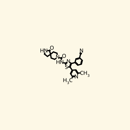 Cc1cc(-c2sc(NC(=O)N3CCC4(CCNC4=O)CC3)nc2-c2cccc(C#N)c2)cc(C)n1